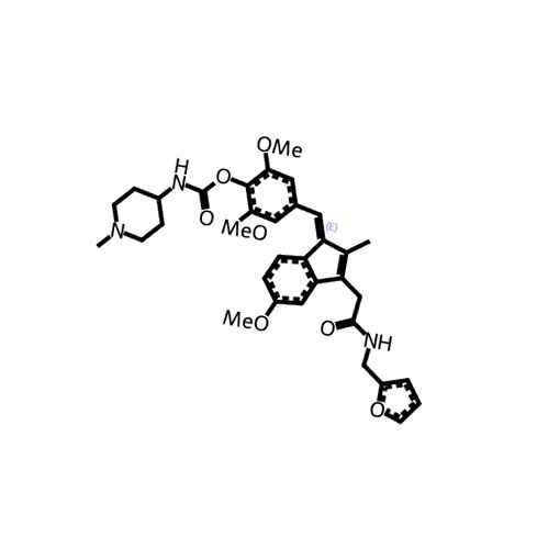 COc1ccc2c(c1)C(CC(=O)NCc1ccco1)=C(C)/C2=C/c1cc(OC)c(OC(=O)NC2CCN(C)CC2)c(OC)c1